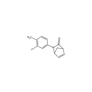 Cc1ccc(N2C(=O)C3C=CC2C3)cc1F